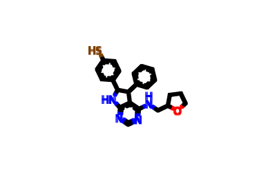 Sc1ccc(C2Nc3ncnc(NCC4CCCO4)c3C2c2ccccc2)cc1